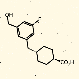 O=C(O)[C@H]1CC[C@H](Cc2cc(F)cc(CO)c2)CC1